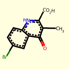 Cc1c(C(=O)O)[nH]c2ccc(Br)cc2c1=O